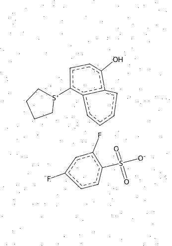 O=S(=O)([O-])c1ccc(F)cc1F.Oc1ccc([S+]2CCCC2)c2ccccc12